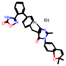 CCCc1nc(C)n(-c2ccc3c(c2)C=CC(C)(C)O3)c(=O)c1Cc1ccc(-c2ccccc2-c2noc(=O)[nH]2)cc1.[KH]